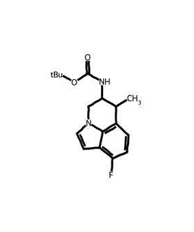 CC1c2ccc(F)c3ccn(c23)CC1NC(=O)OC(C)(C)C